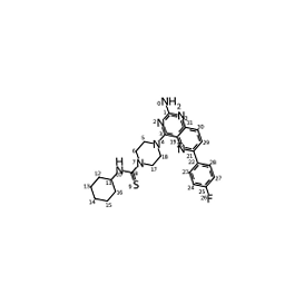 Nc1nc(N2CCN(C(=S)NC3CCCCC3)CC2)c2nc(-c3ccc(F)cc3)ccc2n1